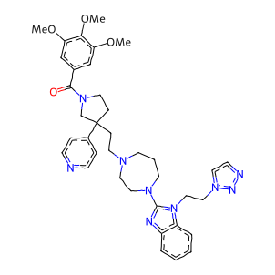 COc1cc(C(=O)N2CCC(CCN3CCCN(c4nc5ccccc5n4CCn4ccnn4)CC3)(c3ccncc3)C2)cc(OC)c1OC